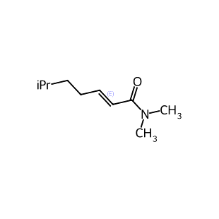 CC(C)CC/C=C/C(=O)N(C)C